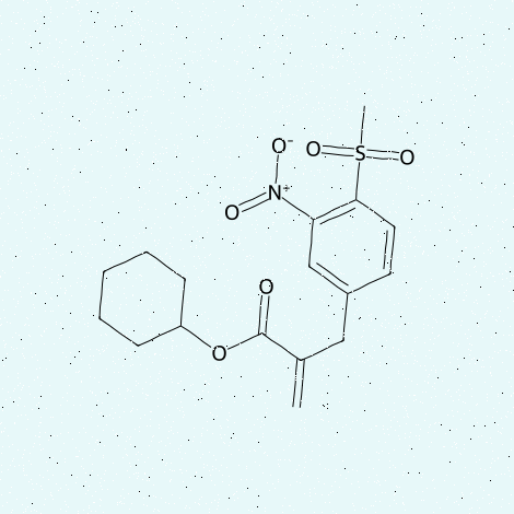 C=C(Cc1ccc(S(C)(=O)=O)c([N+](=O)[O-])c1)C(=O)OC1CCCCC1